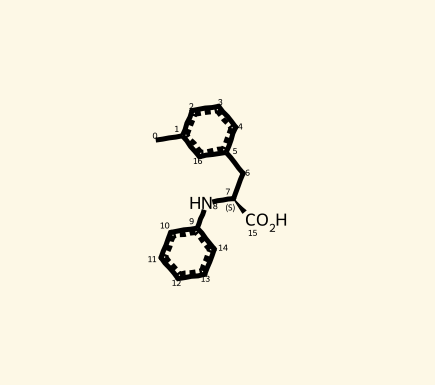 Cc1cccc(C[C@H](Nc2ccccc2)C(=O)O)c1